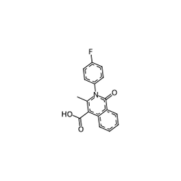 Cc1c(C(=O)O)c2ccccc2c(=O)n1-c1ccc(F)cc1